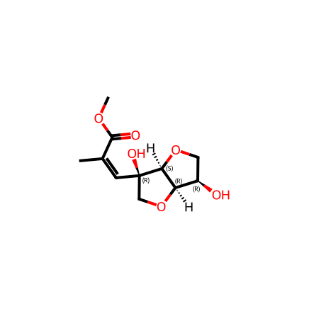 COC(=O)C(C)=C[C@@]1(O)CO[C@@H]2[C@H](O)CO[C@@H]21